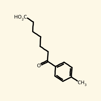 Cc1ccc(C(=O)CCCCCC(=O)O)cc1